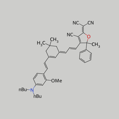 CCCCN(CCCC)c1ccc(/C=C/C2=CC(=C/C=C/C3=C(C#N)C(=C(C#N)C#N)OC3(C)c3ccccc3)/CC(C)(C)C2)c(OC)c1